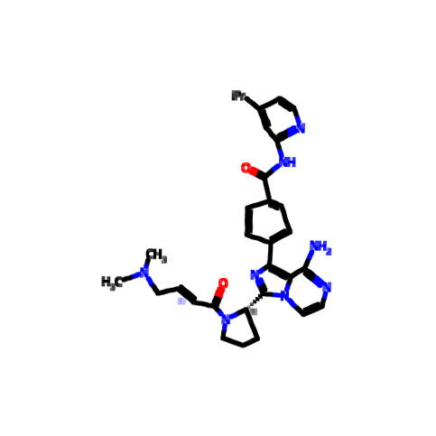 CC(C)c1ccnc(NC(=O)c2ccc(-c3nc([C@@H]4CCCN4C(=O)/C=C/CN(C)C)n4ccnc(N)c34)cc2)c1